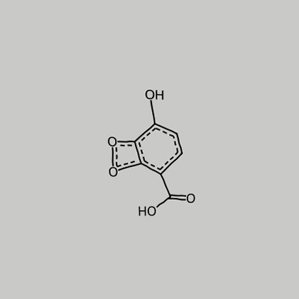 O=C(O)c1ccc(O)c2ooc12